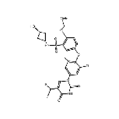 COCOc1cnc(Oc2c(C)cc(-n3nc(C(F)F)c(=O)[nH]c3=O)cc2Cl)cc1S(=O)(=O)N[C@H]1C[C@H](O)C1